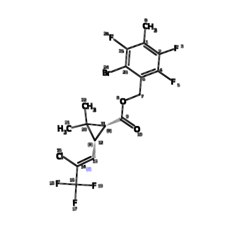 Cc1c(F)c(F)c(COC(=O)[C@@H]2[C@H](/C=C(\Cl)C(F)(F)F)C2(C)C)c(Br)c1F